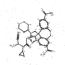 CC(C#N)N(C(=O)CN[C@H](CC1(c2nnn[nH]2)c2ccc(C(N)=O)cc2CCc2cc(C(N)=O)ccc21)C1CCCCC1)C1CC1